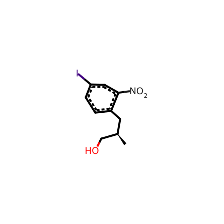 C[C@@H](CO)Cc1ccc(I)cc1[N+](=O)[O-]